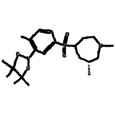 Cc1ccc(S(=O)(=O)C2CCN(C)C[C@H](C)C2)cc1B1OC(C)(C)C(C)(C)O1